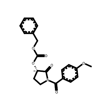 COc1ccc(C(=O)N2CC[C@H](OC(=O)OCc3ccccc3)C2=O)cc1